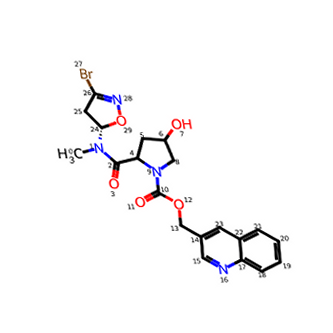 CN(C(=O)C1CC(O)CN1C(=O)OCc1cnc2ccccc2c1)[C@@H]1CC(Br)=NO1